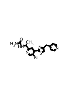 CC(NC(N)=O)c1cc(-c2nc(Cc3ccncc3)cs2)c(Br)cn1